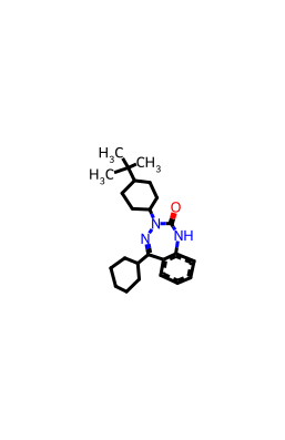 CC(C)(C)C1CCC(N2N=C(C3CCCCC3)c3ccccc3NC2=O)CC1